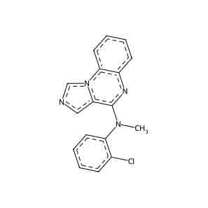 CN(c1ccccc1Cl)c1nc2ccccc2n2cncc12